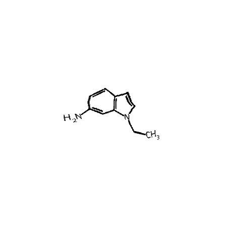 CCn1ccc2ccc(N)cc21